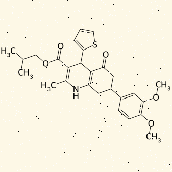 COc1ccc(C2CC(=O)C3=C(C2)NC(C)=C(C(=O)OCC(C)C)C3c2cccs2)cc1OC